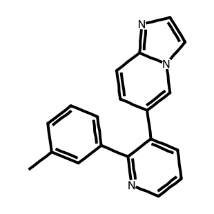 Cc1cccc(-c2ncccc2-c2ccc3nccn3c2)c1